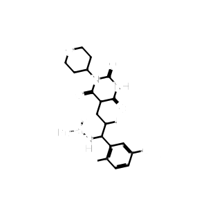 Cc1ccc(F)c(C(N[S@+]([O-])C(C)(C)C)C(F)CC2C(=O)NC(=O)N(C3CCOCC3)C2=O)c1